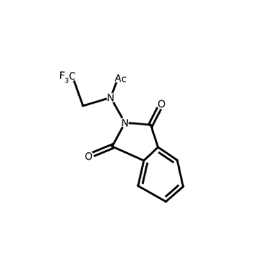 CC(=O)N(CC(F)(F)F)N1C(=O)c2ccccc2C1=O